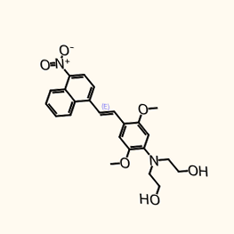 COc1cc(N(CCO)CCO)c(OC)cc1/C=C/c1ccc([N+](=O)[O-])c2ccccc12